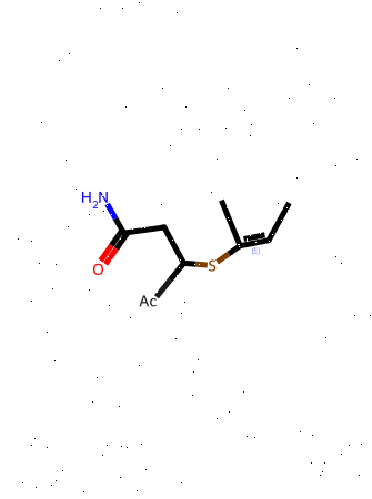 C/C=C(\C)SC(CC(N)=O)C(C)=O